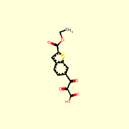 CCOC(=O)c1cc2ccc(C(=O)C(=O)C(=O)O)cc2s1